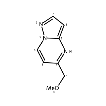 COCc1ccn2nccc2n1